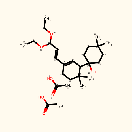 CC(=O)O.CC(=O)O.CCOC(C=CC1=CC(C2(O)CCC(C)(C)CC2)C(C)(C)CC1)OCC